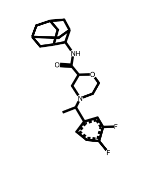 CC(c1ccc(F)c(F)c1)N1CCOC(C(=O)NC2C3CC4CC(C3)CC2C4)C1